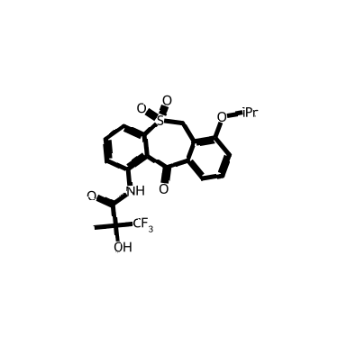 CC(C)Oc1cccc2c1CS(=O)(=O)c1cccc(NC(=O)C(C)(O)C(F)(F)F)c1C2=O